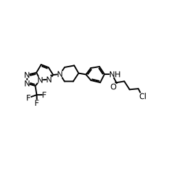 O=C(CCCCl)Nc1ccc(C2CCN(c3ccc4nnc(C(F)(F)F)n4n3)CC2)cc1